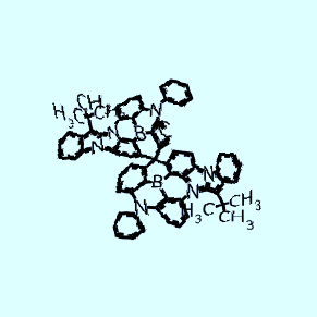 CC(C)(C)c1c2ccccc2n2c3ccc4c5c3n(c12)-c1cccc2c1B5c1c(cccc1C41c3cccc4c3B3c5c(cccc5-n5c6c3c1ccc6n1c3ccccc3c(C(C)(C)C)c51)N4c1ccccc1)N2c1ccccc1